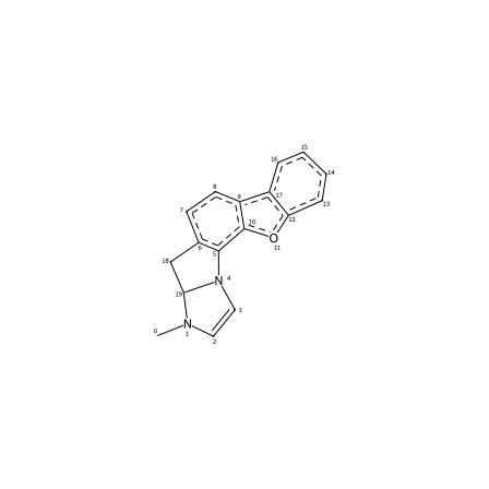 CN1C=CN2c3c(ccc4c3oc3ccccc34)CC12